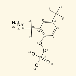 CC(C)(C)c1ccc(OOP(=O)([O-])[O-])c(C(C)(C)C)c1.[Na+].[Na+]